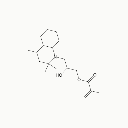 C=C(C)C(=O)OCC(O)CN1C2CCCCC2C(C)CC1(C)C